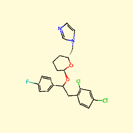 Fc1ccc(C(Cc2ccc(Cl)cc2Cl)O[C@H]2CCC[C@H](Cn3ccnc3)O2)cc1